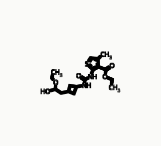 CCOC(=O)c1c(C)csc1NC(=O)NC1CC(CC(O)OCC)C1